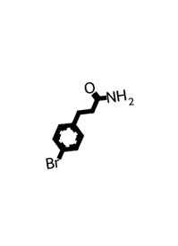 NC(=O)CCc1ccc(Br)cc1